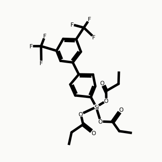 CCC(=O)O[Si](OC(=O)CC)(OC(=O)CC)c1ccc(-c2cc(C(F)(F)F)cc(C(F)(F)F)c2)cc1